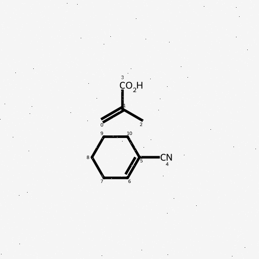 C=C(C)C(=O)O.N#CC1=CCCCC1